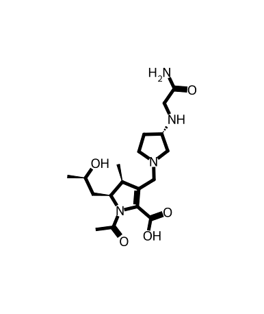 CC(=O)N1C(C(=O)O)=C(CN2CC[C@H](NCC(N)=O)C2)[C@H](C)[C@@H]1C[C@@H](C)O